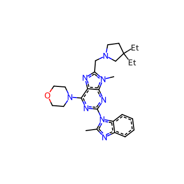 CCC1(CC)CCN(Cc2nc3c(N4CCOCC4)nc(-n4c(C)nc5ccccc54)nc3n2C)C1